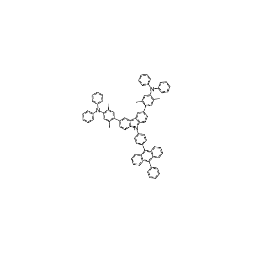 Cc1cc(N(c2ccccc2)c2ccccc2)c(C)cc1-c1ccc2c(c1)c1cc(-c3cc(C)c(N(c4ccccc4)c4ccccc4)cc3C)ccc1n2-c1ccc(-c2c3ccccc3c(-c3ccccc3)c3ccccc23)cc1